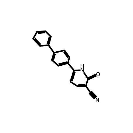 N#Cc1ccc(-c2ccc(-c3ccccc3)cc2)[nH]c1=O